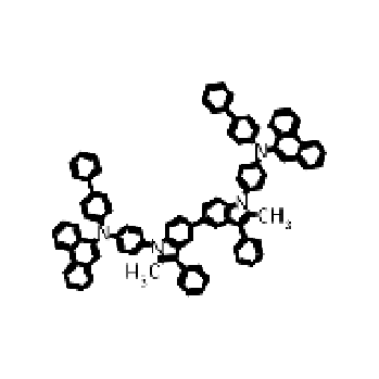 Cc1c(-c2ccccc2)c2cc(-c3ccc4c(c3)c(-c3ccccc3)c(C)n4-c3ccc(N(c4ccc(-c5ccccc5)cc4)c4cc5ccccc5c5ccccc45)cc3)ccc2n1-c1ccc(N(c2ccc(-c3ccccc3)cc2)c2cc3ccccc3c3ccccc23)cc1